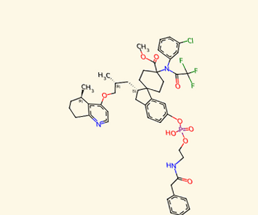 COC(=O)C1(N(C(=O)C(F)(F)F)c2cccc(Cl)c2)CCC2(CC1)c1cc(OP(=O)(O)OCCNC(=O)Cc3ccccc3)ccc1C[C@@H]2C[C@@H](C)COc1ccnc2c1[C@H](C)CCC2